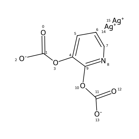 O=C([O-])Oc1cccnc1OC(=O)[O-].[Ag+].[Ag+]